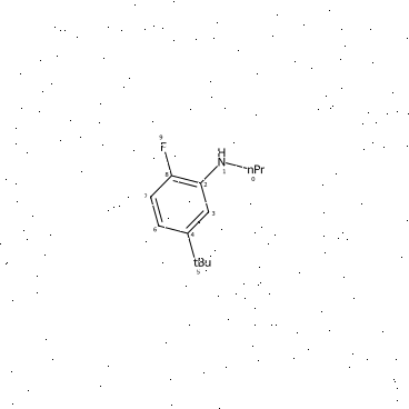 CCCNc1cc(C(C)(C)C)ccc1F